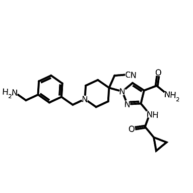 N#CCC1(n2cc(C(N)=O)c(NC(=O)C3CC3)n2)CCN(Cc2cccc(CN)c2)CC1